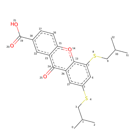 CC(C)CSc1cc(SCC(C)C)c2oc3ccc(C(=O)O)cc3c(=O)c2c1